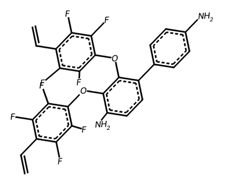 C=Cc1c(F)c(F)c(Oc2c(N)ccc(-c3ccc(N)cc3)c2Oc2c(F)c(F)c(C=C)c(F)c2F)c(F)c1F